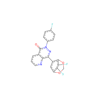 O=c1c2cccnc2c(-c2cc3c(F)c(F)c2OCO3)nn1-c1ccc(F)cc1